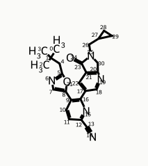 CC(C)(C)Cc1ncc(-c2ccc(C#N)nc2-c2cnc3c(c2)C(=O)N(CC2CC2)C3)o1